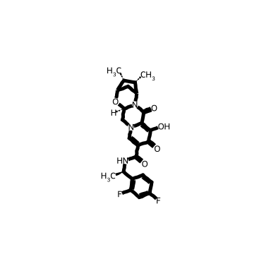 C[C@@H]1C2CC(O[C@@H]3Cn4cc(C(=O)N[C@H](C)c5ccc(F)cc5F)c(=O)c(O)c4C(=O)N23)[C@@H]1C